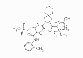 Cc1ccccc1NC(=O)C(=O)C(CCC(C)(F)F)NC(=O)C1CC2(CCCCC2)CN1C(=O)C(NC(=O)O)C(C)(C)C